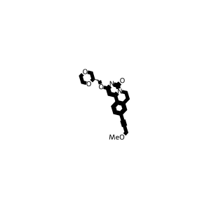 COCC#Cc1ccc2c(c1)CCn1c-2cc(OC[C@H]2COCCO2)nc1=O